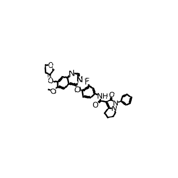 COc1cc2c(Oc3ccc(NC(=O)c4c5n(n(-c6ccccc6)c4=O)CCCC5)cc3F)ncnc2cc1O[C@@H]1CCOC1